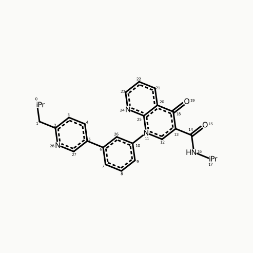 CC(C)Cc1ccc(-c2cccc(-n3cc(C(=O)NC(C)C)c(=O)c4cccnc43)c2)cn1